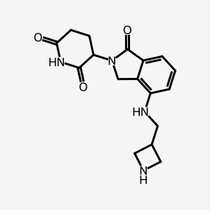 O=C1CCC(N2Cc3c(NCC4CNC4)cccc3C2=O)C(=O)N1